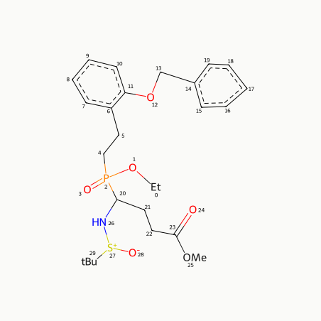 CCOP(=O)(CCc1ccccc1OCc1ccccc1)C(CCC(=O)OC)N[S+]([O-])C(C)(C)C